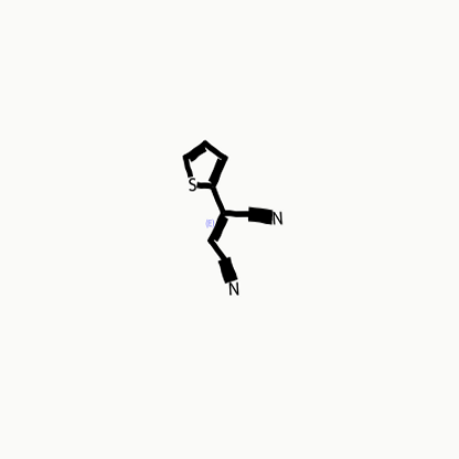 N#C/C=C(\C#N)c1cccs1